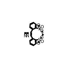 C#N.C#N.O=S1(=O)OSOS(=O)(=O)c2ccccc2C=Cc2ccccc21